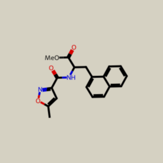 COC(=O)C(Cc1cccc2ccccc12)NC(=O)c1cc(C)on1